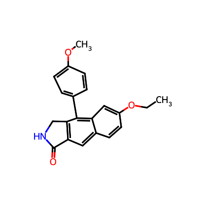 CCOc1ccc2cc3c(c(-c4ccc(OC)cc4)c2c1)CNC3=O